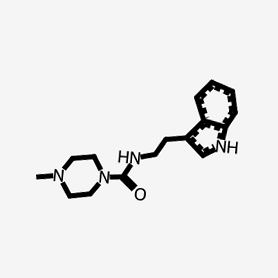 CN1CCN(C(=O)NCCc2c[nH]c3ccccc23)CC1